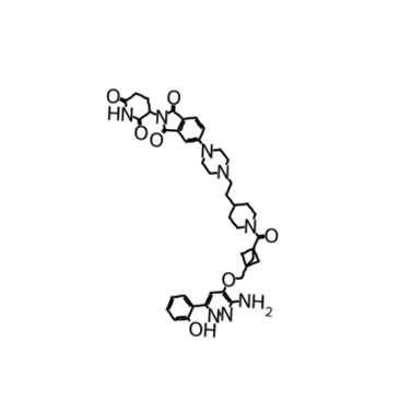 Nc1nnc(-c2ccccc2O)cc1OCC12CC(C(=O)N3CCC(CCN4CCN(c5ccc6c(c5)C(=O)N(C5CCC(=O)NC5=O)C6=O)CC4)CC3)(C1)C2